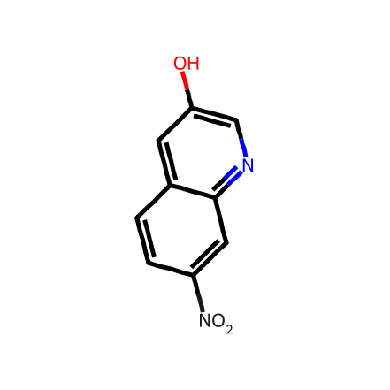 O=[N+]([O-])c1ccc2cc(O)cnc2c1